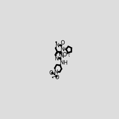 CN1Cc2cnc(NC3CCN(S(C)(=O)=O)CC3)nc2N([C@@H]2CCC[C@@]2(C)O)C1=O